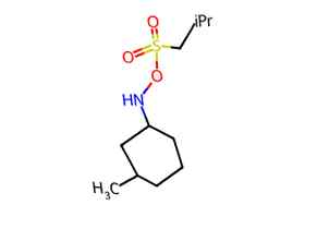 CC(C)CS(=O)(=O)ONC1CCCC(C)C1